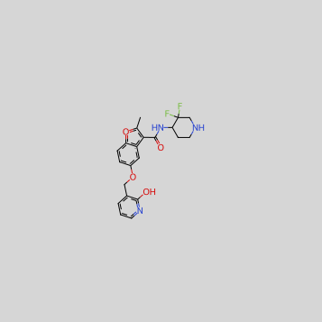 Cc1oc2ccc(OCc3cccnc3O)cc2c1C(=O)NC1CCNCC1(F)F